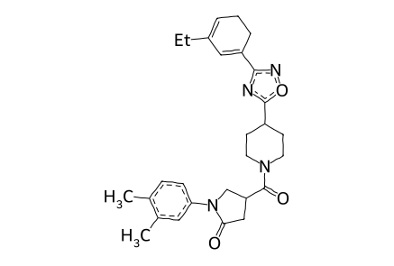 CCC1=CCCC(c2noc(C3CCN(C(=O)C4CC(=O)N(c5ccc(C)c(C)c5)C4)CC3)n2)=C1